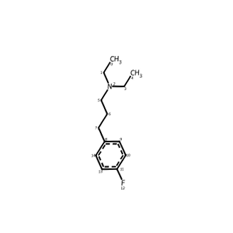 CCN(CC)CC[CH]c1ccc(F)cc1